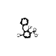 O=[N+]([O-])c1ccc(Cl)c(Cc2ccccc2)c1Br